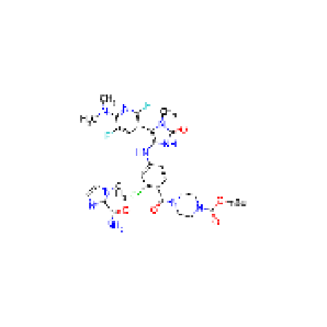 CCCCOC(=O)N1CCN(C(=O)c2ccc(Nc3[nH]c(=O)n(C)c3-c3cc(F)c(N(C)C)nc3F)cc2Cl)CC1.Cn1ccnc1C(N)=O